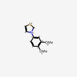 COc1ccc(N2C=CSC2)cc1OC